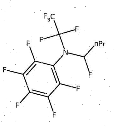 CCCC(F)N(c1c(F)c(F)c(F)c(F)c1F)C(F)(F)C(F)(F)F